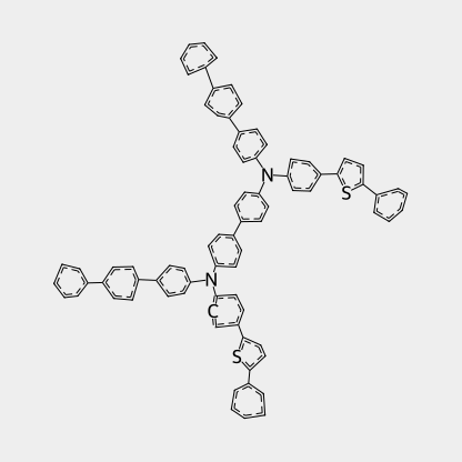 c1ccc(-c2ccc(-c3ccc(N(c4ccc(-c5ccc(N(c6ccc(-c7ccc(-c8ccccc8)cc7)cc6)c6ccc(-c7ccc(-c8ccccc8)s7)cc6)cc5)cc4)c4ccc(-c5ccc(-c6ccccc6)s5)cc4)cc3)cc2)cc1